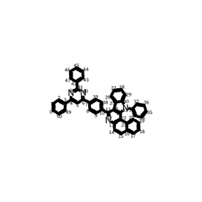 c1ccc(-c2cc(-c3ccc(-c4nc5ccc6ccccc6c5c5c4c4ccccc4n5-c4ccccc4)cc3)nc(-c3ccccc3)n2)cc1